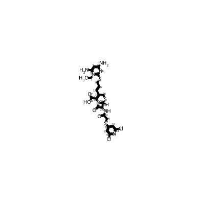 CC[n+]1c(N)cc(N)nc1SCC=CC1=C(C(=O)O)N2C(=O)[C@@H](NC(=O)CSc3cc(Cl)nc(Cl)c3)[C@H]2SC1